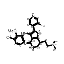 COc1c(Cl)cccc1Nc1c(-c2ccncc2F)[nH]c2c1C(=O)NCC2CCN(C)C